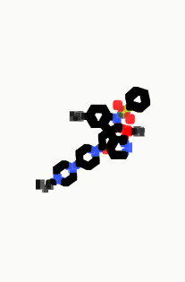 CCOc1ncccc1C1(CC(=O)N2CCC(N3CCN(C)CC3)CC2)C(=O)N(S(=O)(=O)c2ccccc2)c2ccc(C#N)cc21